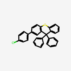 Clc1ccc(-c2ccc3c(c2)C(c2ccccc2)(c2ccccc2)c2ccccc2S3)cc1